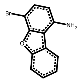 Nc1ccc(Br)c2oc3ccccc3c12